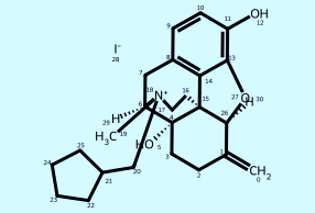 C=C1CC[C@@]2(O)[C@H]3Cc4ccc(O)c5c4[C@@]2(CC[N+]3(C)CC2CCCC2)[C@H]1O5.[I-]